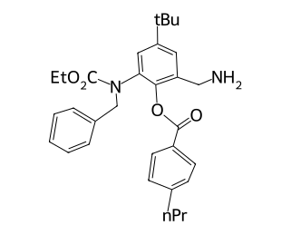 CCCc1ccc(C(=O)Oc2c(CN)cc(C(C)(C)C)cc2N(Cc2ccccc2)C(=O)OCC)cc1